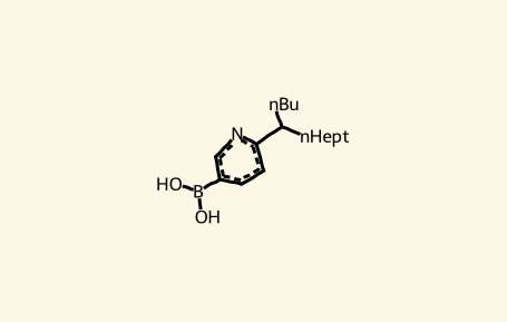 CCCCCCCC(CCCC)c1ccc(B(O)O)cn1